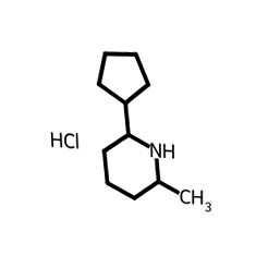 CC1CCCC(C2CCCC2)N1.Cl